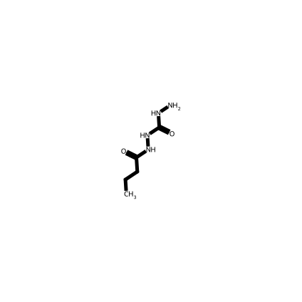 CCCC(=O)NNC(=O)NN